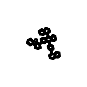 c1ccc2c(-c3ccc(-c4c5ccccc5c(-c5cccc6ccccc56)c5ccc(-c6cccc7c6oc6ccccc67)cc45)cc3)cccc2c1